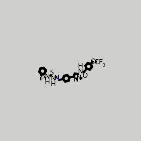 CC(C)c1ccccc1NC(=S)N/N=C/c1ccc(-c2cc(NC(=O)c3ccc(OC(F)(F)F)cc3)n(C)n2)cc1